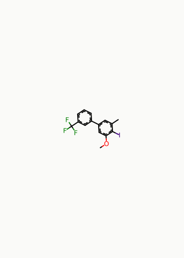 COc1cc(-c2cccc(C(F)(F)F)c2)cc(C)c1I